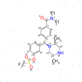 CCN(CC)C(=O)c1ccc([C@H](c2cccc(OS(=O)(=O)C(F)(F)F)c2)N2C[C@@H](C)NC[C@@H]2C)cc1